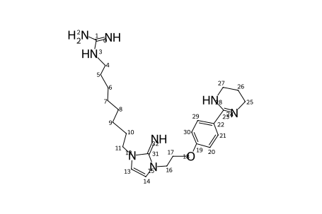 N=C(N)NCCCCCCCCn1ccn(CCOc2ccc(C3=NCCCN3)cc2)c1=N